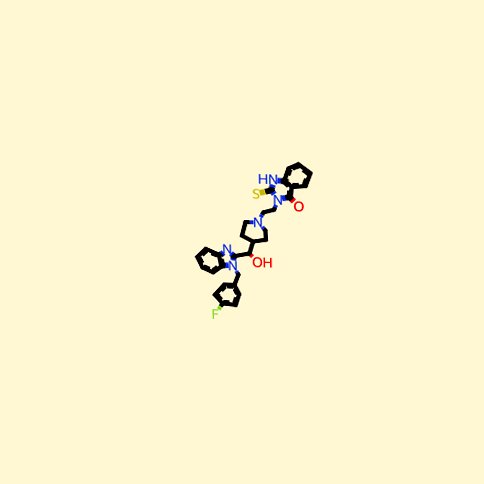 O=c1c2ccccc2[nH]c(=S)n1CCN1CCC(C(O)c2nc3ccccc3n2Cc2ccc(F)cc2)CC1